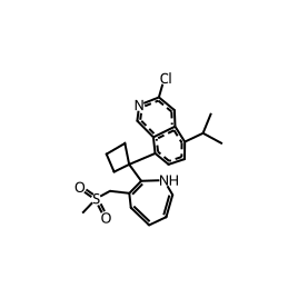 CC(C)c1ccc(C2(C3=C(CS(C)(=O)=O)C=CC=CN3)CCC2)c2cnc(Cl)cc12